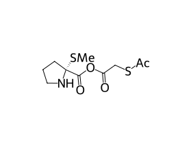 CS[C@@]1(C(=O)OC(=O)CSC(C)=O)CCCN1